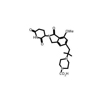 COc1cc(CC(C)(C)N2CCN(C(=O)O)CC2)cc2c1C(=O)N(C1CCC(=O)NC1=O)C2